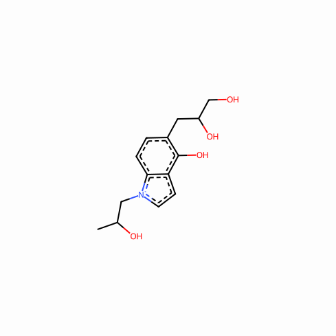 CC(O)Cn1ccc2c(O)c(CC(O)CO)ccc21